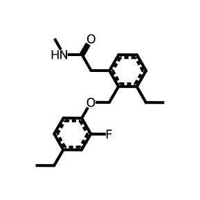 CCc1ccc(OCc2c(CC)cccc2CC(=O)NC)c(F)c1